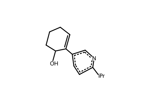 CC(C)c1ccc(C2=CCCCC2O)cn1